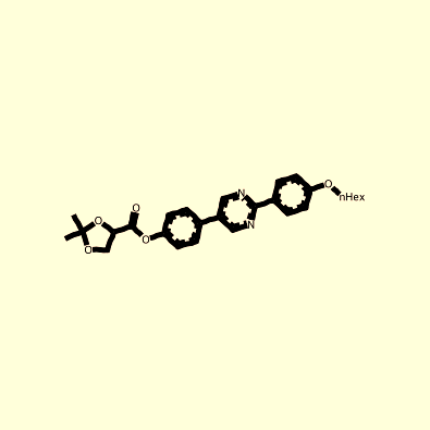 CCCCCCOc1ccc(-c2ncc(-c3ccc(OC(=O)C4COC(C)(C)O4)cc3)cn2)cc1